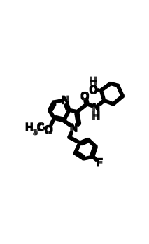 COc1ccnc2c(C(=O)NC3CCCC[C@@H]3O)cn(Cc3ccc(F)cc3)c12